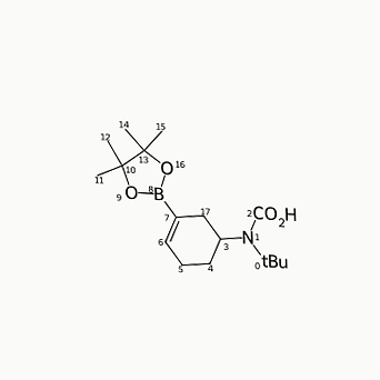 CC(C)(C)N(C(=O)O)C1CCC=C(B2OC(C)(C)C(C)(C)O2)C1